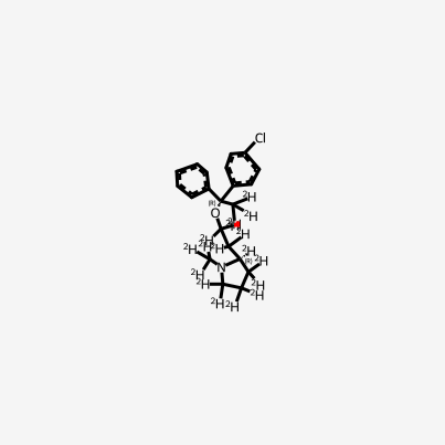 [2H]C([2H])([2H])N1C([2H])([2H])C([2H])([2H])C([2H])([2H])[C@]1([2H])C([2H])([2H])C([2H])([2H])O[C@](c1ccccc1)(c1ccc(Cl)cc1)C([2H])([2H])[2H]